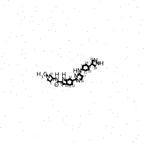 CN1CCC(NC(=O)c2cc3ccc(-c4nccc(Nc5ccc(-c6cn[nH]c6)cc5)n4)cc3[nH]2)C1